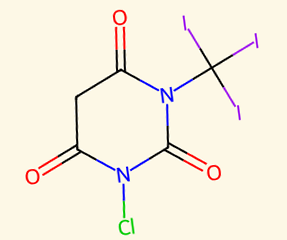 O=C1CC(=O)N(C(I)(I)I)C(=O)N1Cl